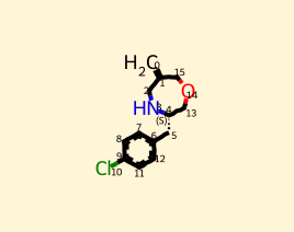 C=C1CN[C@@H](Cc2ccc(Cl)cc2)COC1